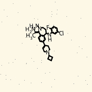 C/C(N)=C1\c2ccc(C3=CCN(C4CCC4)CC3)cc2C(Nc2cc(Cl)ccc2F)CCN1N